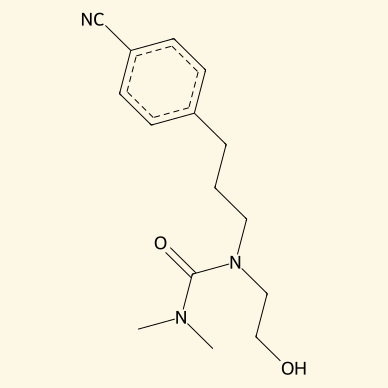 CN(C)C(=O)N(CCO)CCCc1ccc(C#N)cc1